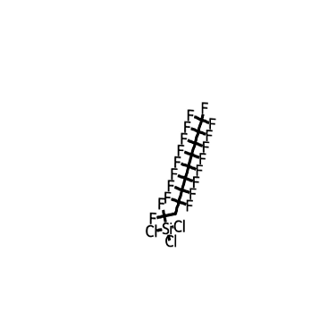 FC(F)(F)C(F)(F)C(F)(F)C(F)(F)C(F)(F)C(F)(F)C(F)(F)C(F)(F)CC(F)(F)[Si](Cl)(Cl)Cl